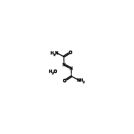 NC(=O)N=NC(N)=O.O